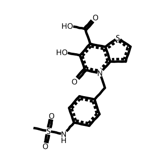 CS(=O)(=O)Nc1ccc(Cn2c(=O)c(O)c(C(=O)O)c3sccc32)cc1